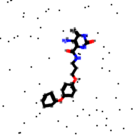 C=C1NC(=O)NC(C(=O)NCCCOc2ccc(Oc3ccccc3)cc2)=C1N